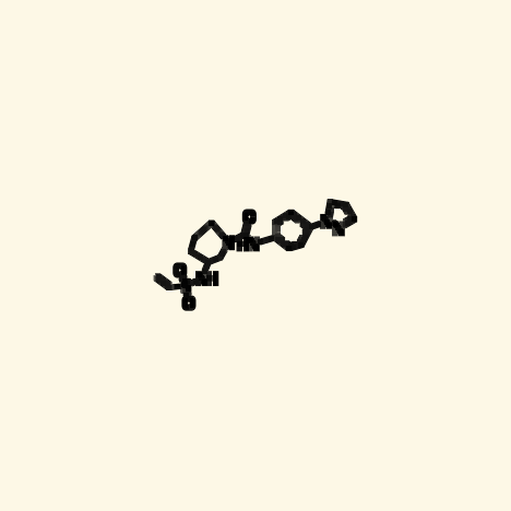 C=CS(=O)(=O)NC1CCCN(C(=O)Nc2ccc(-n3cccn3)cc2)C1